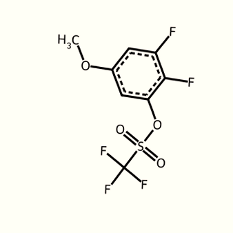 COc1cc(F)c(F)c(OS(=O)(=O)C(F)(F)F)c1